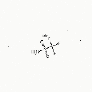 NS(=O)(=O)C(F)(F)F.[Rb]